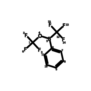 FC(F)(F)OB(c1ccccc1)C(F)(F)F